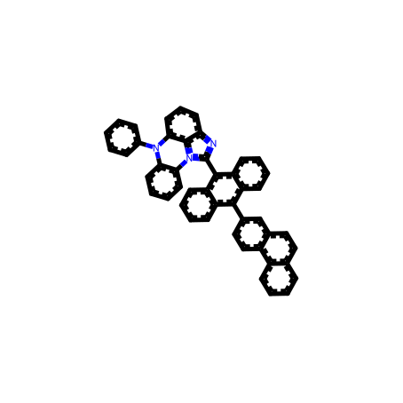 c1ccc(N2c3ccccc3-n3c(-c4c5ccccc5c(-c5ccc6c(ccc7ccccc76)c5)c5ccccc45)nc4cccc2c43)cc1